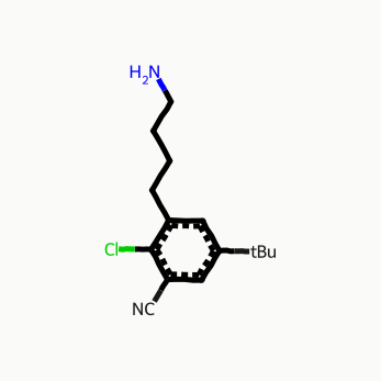 CC(C)(C)c1cc(C#N)c(Cl)c(CCCCN)c1